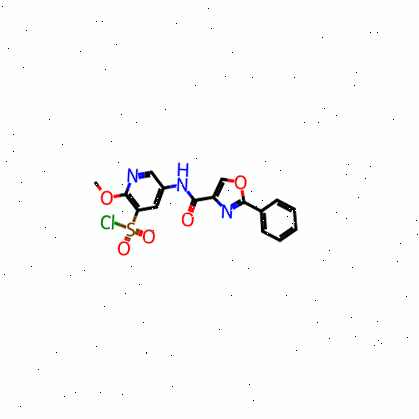 COc1ncc(NC(=O)c2coc(-c3ccccc3)n2)cc1S(=O)(=O)Cl